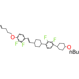 C=CCCCOc1ccc(/C=C/C2CCC(c3ccc(C4CCC(OCCCC)CC4)c(F)c3F)CC2)c(F)c1F